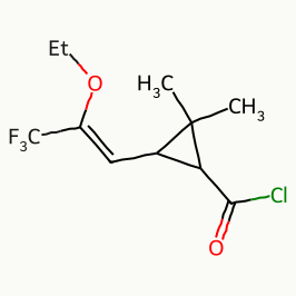 CCOC(=CC1C(C(=O)Cl)C1(C)C)C(F)(F)F